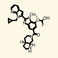 Cn1c(-c2cc3cccnc3n2CC2CC2)nc2cc(C(=O)N3CC[C@H]4CCN[C@H]4C3)cc(OC(O)F)c21